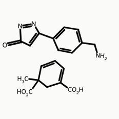 CC1(C(=O)O)C=CC=C(C(=O)O)C1.NCc1ccc(C2=CC(=O)N=N2)cc1